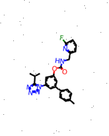 Cc1ccc(-c2cc(OC(=O)NCc3cccc(F)n3)cc(-n3nnnc3C(C)C)c2)cc1